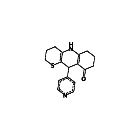 O=C1CCCC2=C1C(c1ccncc1)C1=C(CCCS1)N2